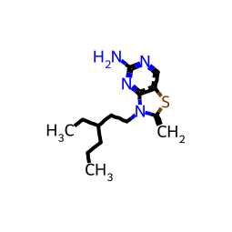 C=C1Sc2cnc(N)nc2N1CCC(CC)CCC